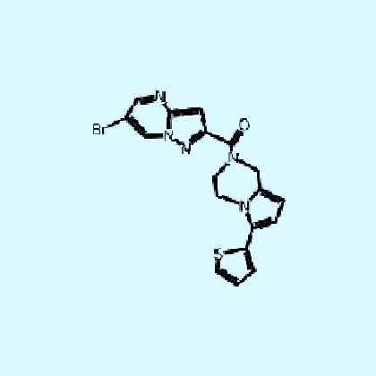 O=C(c1cc2ncc(Br)cn2n1)N1CCn2c(ccc2-c2cccs2)C1